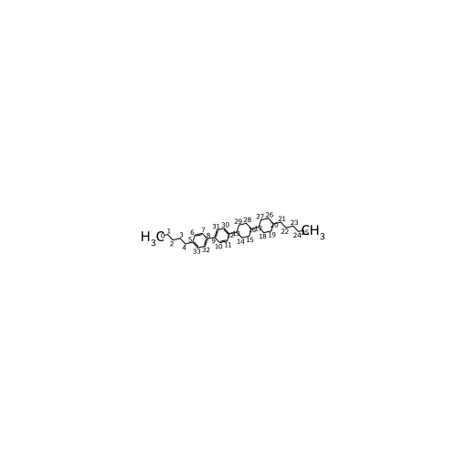 CCCCCc1ccc(-c2ccc(C3CCC(C4CCC(CCCCC)CC4)CC3)cc2)cc1